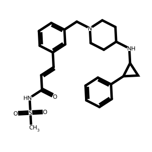 CS(=O)(=O)NC(=O)C=Cc1cccc(CN2CCC(NC3CC3c3ccccc3)CC2)c1